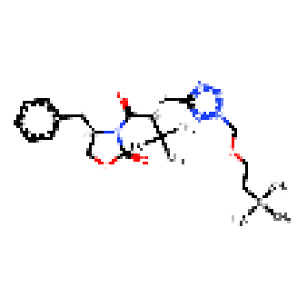 CC(C)(C)[C@@H](Cc1nnn(COCC[Si](C)(C)C)n1)C(=O)N1C(=O)OC[C@H]1Cc1ccccc1